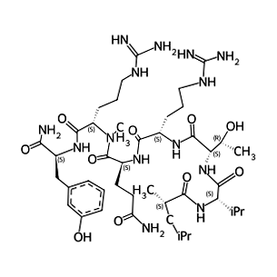 CC(C)C[C@H](C)C(=O)N[C@H](C(=O)N[C@H](C(=O)N[C@@H](CCCNC(=N)N)C(=O)N[C@@H](CCC(N)=O)C(=O)N(C)[C@@H](CCCNC(=N)N)C(=O)N[C@@H](Cc1cccc(O)c1)C(N)=O)[C@@H](C)O)C(C)C